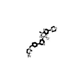 CC(C)N1CCN(Cc2ccc(-c3cncc(N[S+]([O-])c4cc(N5CCOCC5)cnc4N(C)C)c3)cc2)CC1